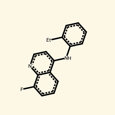 CCc1ccccc1Nc1ccnc2c(F)cccc12